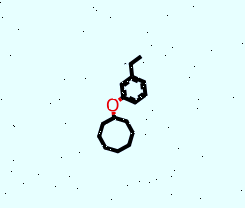 C[CH]c1cccc(OC2CCCCCCC2)c1